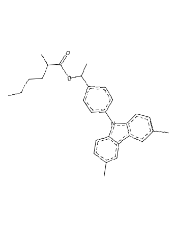 CCCCC(C)C(=O)OC(C)c1ccc(-n2c3ccc(C)cc3c3cc(C)ccc32)cc1